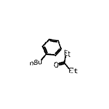 CCC(=O)CC.CCCCc1ccccc1